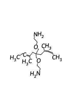 CC=C=C(C)CC(COCCN)(COCCN)CC(C)=C=CC